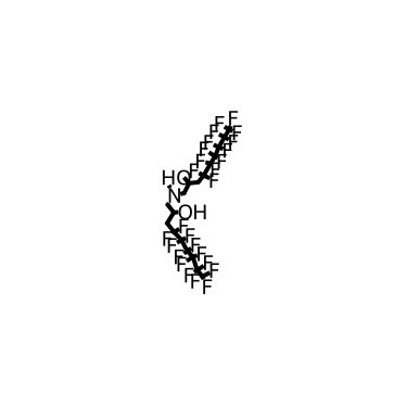 CN(CC(O)CC(F)(F)C(F)(F)C(F)(F)C(F)(F)C(F)(F)C(F)(F)F)CC(O)CC(F)(F)C(F)(F)C(F)(F)C(F)(F)C(F)(F)C(F)(F)F